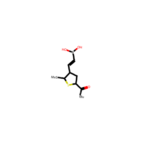 CSC1SC(C(=O)C(C)(C)C)CC1/C=C/B(O)O